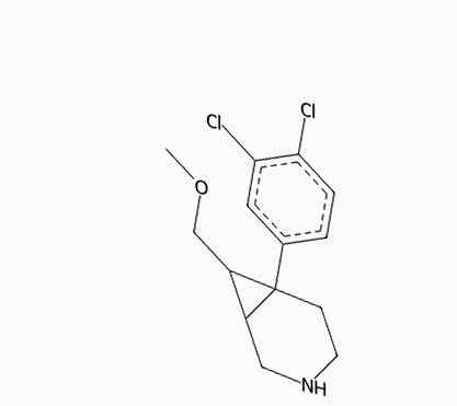 COCC1C2CNCCC21c1ccc(Cl)c(Cl)c1